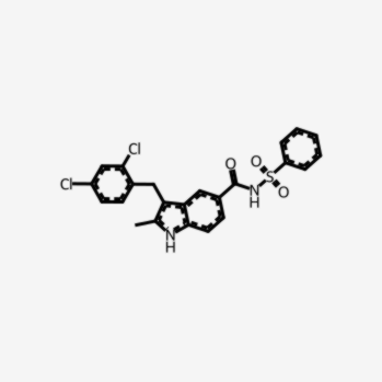 Cc1[nH]c2ccc(C(=O)NS(=O)(=O)c3ccccc3)cc2c1Cc1ccc(Cl)cc1Cl